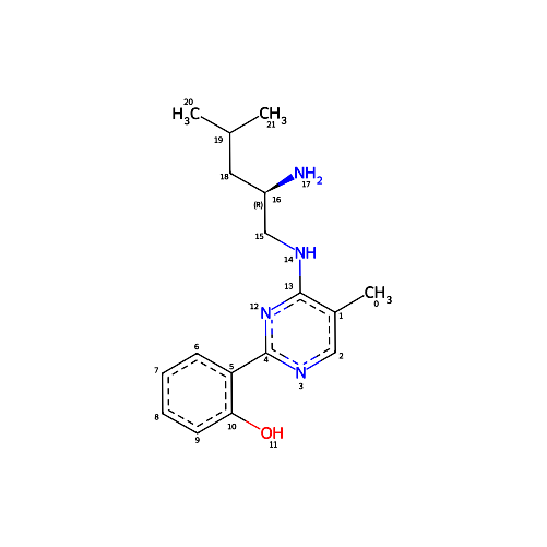 Cc1cnc(-c2ccccc2O)nc1NC[C@H](N)CC(C)C